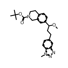 COC(CCc1ccc2c(c1)nnn2C)c1ccc2c(c1)CN(C(=O)OC(C)(C)C)CC2